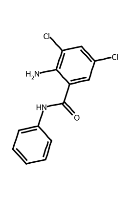 Nc1c(Cl)cc(Cl)cc1C(=O)Nc1ccccc1